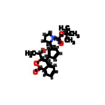 CC(Br)c1oc(=O)c2ccccc2c1-c1cccc(C2CCCN2C(=O)OC(C)(C)C)c1